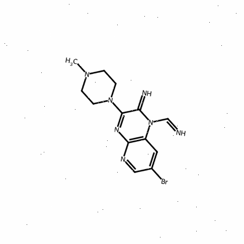 CN1CCN(c2nc3ncc(Br)cc3n(C=N)c2=N)CC1